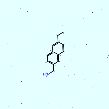 CCc1ccc2cc(CN)ccc2c1